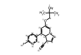 CC(C)(O)COC1=CN2N=CC(C#N)C2C(c2ccc(F)nc2)=C1